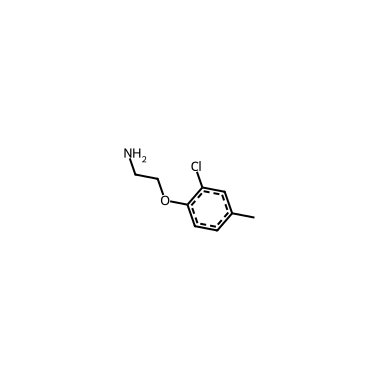 Cc1ccc(OCCN)c(Cl)c1